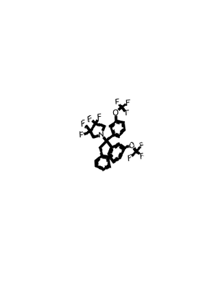 FC(F)(F)Oc1cccc(C(Cc2ccccc2)(c2cccc(OC(F)(F)F)c2)N2CC(F)(F)C(F)(F)C2)c1